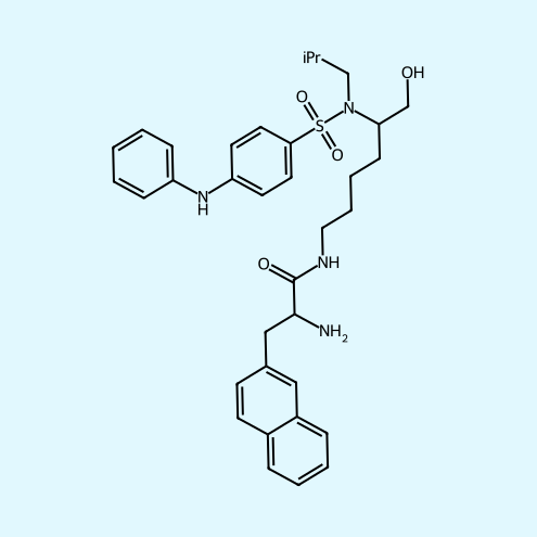 CC(C)CN(C(CO)CCCCNC(=O)C(N)Cc1ccc2ccccc2c1)S(=O)(=O)c1ccc(Nc2ccccc2)cc1